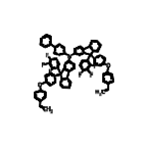 C=Cc1ccc(Oc2ccc(C3(c4ccc(F)c(F)c4F)c4ccccc4-c4ccc(N(c5ccc(-c6ccccc6)cc5)c5ccc6c(c5)C(c5ccc(Oc7ccc(C=C)cc7)cc5)(c5ccc(F)c(F)c5F)c5ccccc5-6)cc43)cc2)cc1